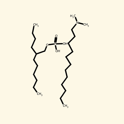 CCCCCCC(CCCC)COP(=O)(O)O.CCCCCCCCCCCCN(C)C